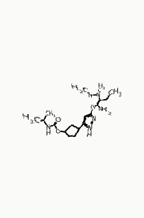 C=NN(C)/C(CC)=C(/N)Nc1cc(C2CCC(OC(=O)NC(C)C)C2)[nH]n1